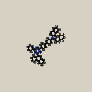 C1=c2ccccc2=C2c3c(ccc4ccccc34)N(c3ccc(-c4ccc(-c5nc(-c6ccccc6)nc(-c6cc7ccccc7c7ccccc67)n5)cc4)cc3)C2C1